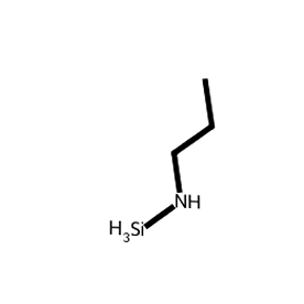 CCCN[SiH3]